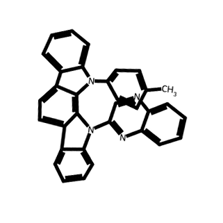 Cc1ccc(-n2c3ccccc3c3ccc4c5ccccc5n(-c5cnc6ccccc6n5)c4c32)cc1